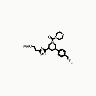 COCCc1noc(C2CC(c3ccc(CC(F)(F)F)cc3)CN(C(=O)N3CCSCC3)C2)n1